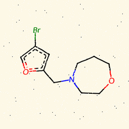 Brc1coc(CN2CCCOCC2)c1